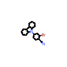 N#Cc1ccc(-n2c3ccccc3c3ccccc32)cc1Br